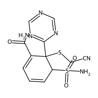 N#CCSC1(c2ncncn2)C(C(N)=O)=CC=CC1S(N)(=O)=O